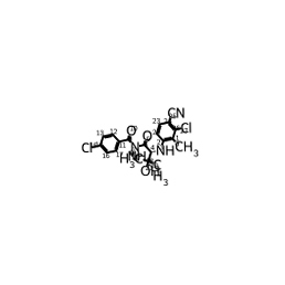 Cc1c(N[C@@H](C(=O)N(N)C(=O)c2ccc(Cl)cc2)C(C)(C)O)ccc(C#N)c1Cl